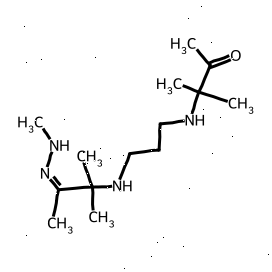 CNN=C(C)C(C)(C)NCCCNC(C)(C)C(C)=O